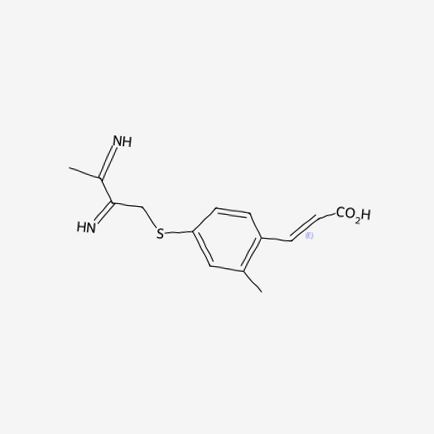 CC(=N)C(=N)CSc1ccc(/C=C/C(=O)O)c(C)c1